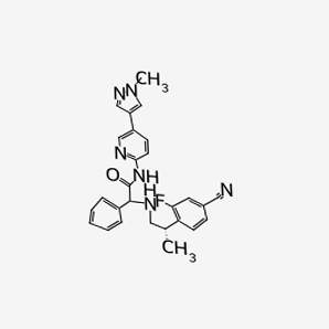 C[C@H](CNC(C(=O)Nc1ccc(-c2cnn(C)c2)cn1)c1ccccc1)c1ccc(C#N)cc1F